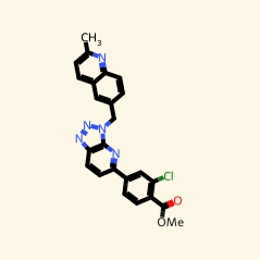 COC(=O)c1ccc(-c2ccc3nnn(Cc4ccc5nc(C)ccc5c4)c3n2)cc1Cl